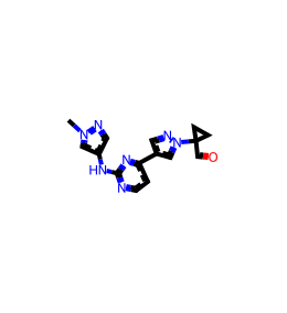 Cn1cc(Nc2nccc(-c3cnn(C4(C=O)CC4)c3)n2)cn1